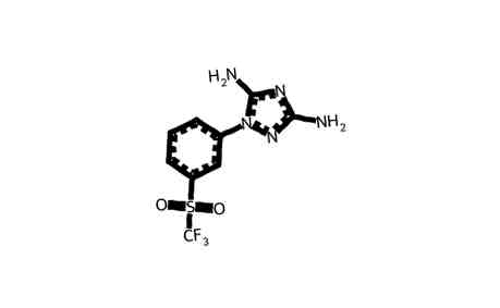 Nc1nc(N)n(-c2cccc(S(=O)(=O)C(F)(F)F)c2)n1